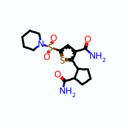 NC(=O)c1cc(S(=O)(=O)N2CCCCC2)sc1C1CCCC1C(N)=O